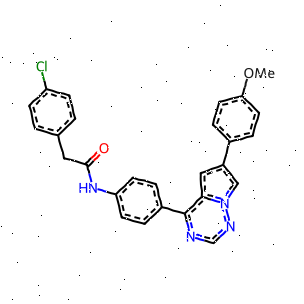 COc1ccc(-c2cc3c(-c4ccc(NC(=O)Cc5ccc(Cl)cc5)cc4)ncnn3c2)cc1